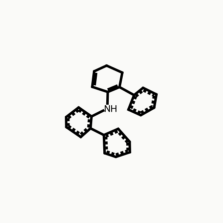 C1=CC(Nc2ccccc2-c2ccccc2)=C(c2ccccc2)CC1